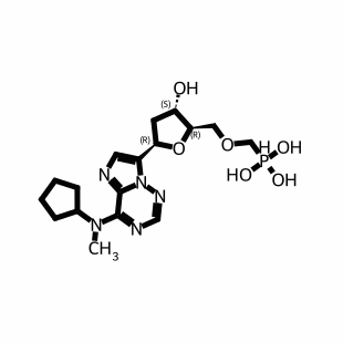 CN(c1ncnn2c([C@H]3C[C@H](O)[C@@H](COC[PH](O)(O)O)O3)cnc12)C1CCCC1